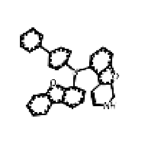 C1=Cc2c(oc3cccc(N(c4ccc(-c5ccccc5)cc4)c4cccc5c4oc4ccccc45)c23)CN1